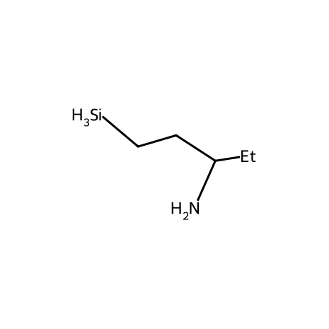 CCC(N)CC[SiH3]